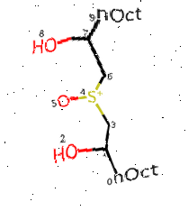 CCCCCCCCC(O)C[S+]([O-])CC(O)CCCCCCCC